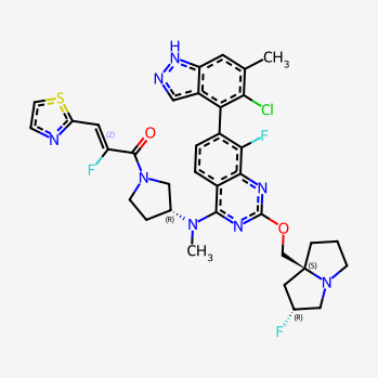 Cc1cc2[nH]ncc2c(-c2ccc3c(N(C)[C@@H]4CCN(C(=O)/C(F)=C/c5nccs5)C4)nc(OC[C@@]45CCCN4C[C@H](F)C5)nc3c2F)c1Cl